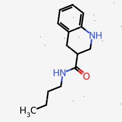 CCCCNC(=O)C1CNc2ccccc2C1